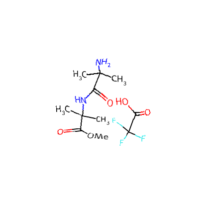 COC(=O)C(C)(C)NC(=O)C(C)(C)N.O=C(O)C(F)(F)F